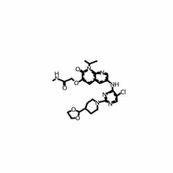 CNC(=O)COc1cc2cc(Nc3nc(N4CCC(C5OCCO5)CC4)ncc3Cl)cnc2n(C(C)C)c1=O